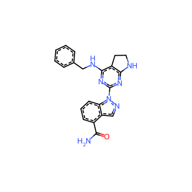 NC(=O)c1cccc2c1cnn2-c1nc2c(c(NCc3ccccc3)n1)CCN2